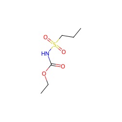 CCCS(=O)(=O)NC(=O)OCC